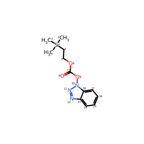 C[Si](C)(C)CCOC(=O)On1nnc2ccccc21